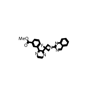 COC(=O)c1cccc(-c2nccnc2C2(F)CN(c3ncc4ccccc4n3)C2)c1